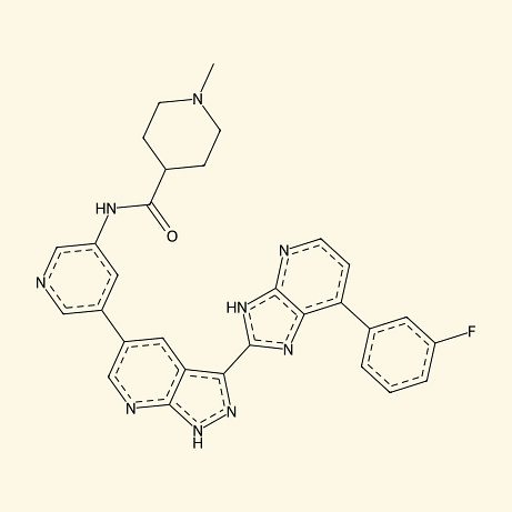 CN1CCC(C(=O)Nc2cncc(-c3cnc4[nH]nc(-c5nc6c(-c7cccc(F)c7)ccnc6[nH]5)c4c3)c2)CC1